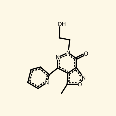 Cc1onc2c(=O)n(CCO)nc(-c3ccccn3)c12